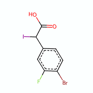 O=C(O)C(I)c1ccc(Br)c(F)c1